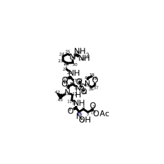 CC(=O)OC(=O)CC/C(=N\O)C(=O)NCCN(C(=O)[C@H](CC(=O)NC[C@@H]1CCCN(C(=N)N)C1)NS(=O)(=O)N1CCOCC1)C1CC1